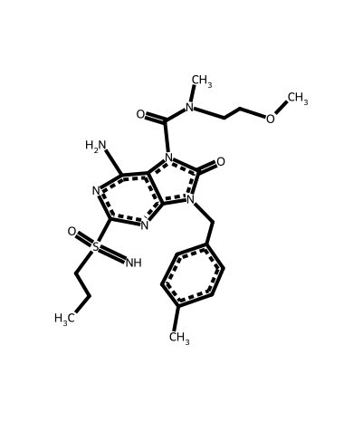 CCCS(=N)(=O)c1nc(N)c2c(n1)n(Cc1ccc(C)cc1)c(=O)n2C(=O)N(C)CCOC